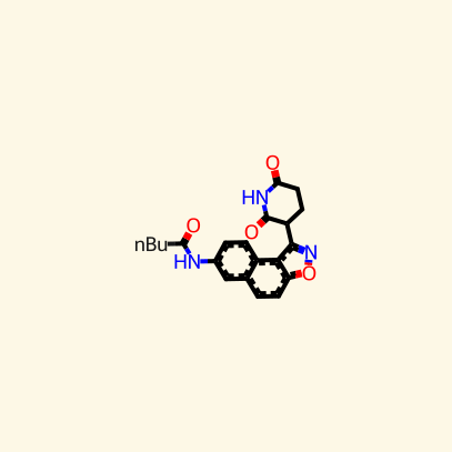 CCCCC(=O)Nc1ccc2c(ccc3onc(C4CCC(=O)NC4=O)c32)c1